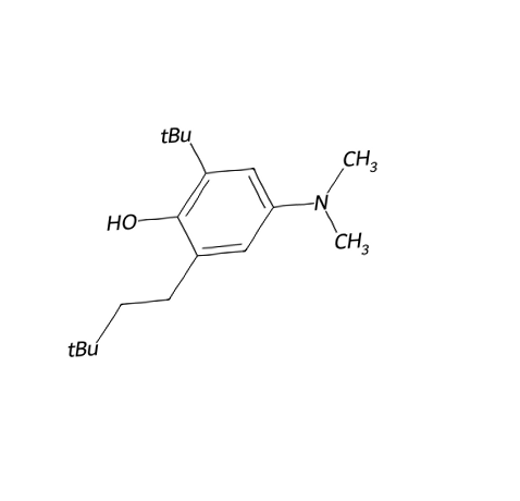 CN(C)c1cc(CCC(C)(C)C)c(O)c(C(C)(C)C)c1